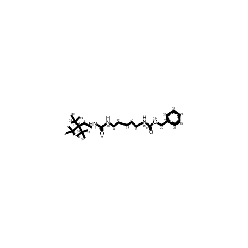 CC(C)(C)C(CCNC(=O)NCCCCCNC(=O)OCc1ccccc1)(C(C)(C)C)C(C)(C)C